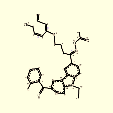 C=C/C=C(\C=C/CCl)SCCC/C(=N\OC(C)=O)c1ccc2c(c1)c1cc(C(=O)c3ccccc3C)ccc1n2CC